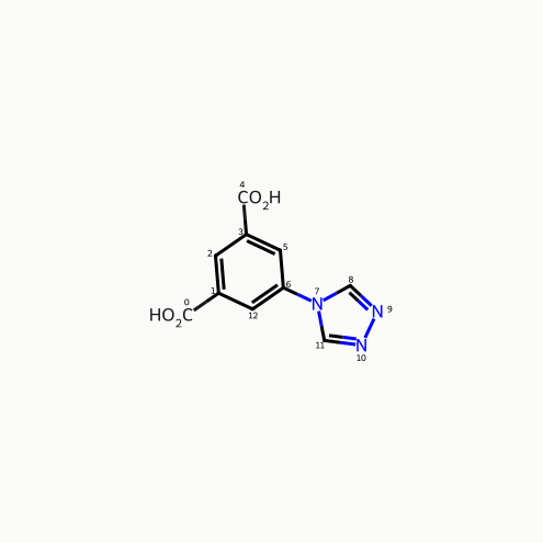 O=C(O)c1cc(C(=O)O)cc(-n2cnnc2)c1